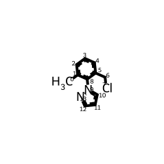 Cc1cccc(CCl)c1-n1cccn1